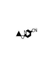 N#Cc1ccc(OC2CC2)nc1